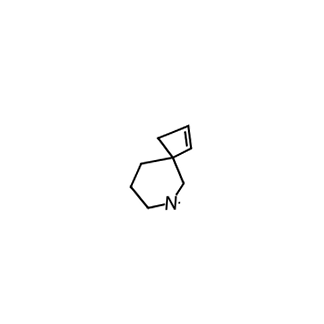 C1=CC2(C1)CCC[N]C2